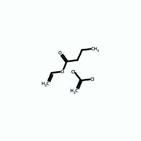 C=C(Cl)Cl.C=COC(=O)CCC